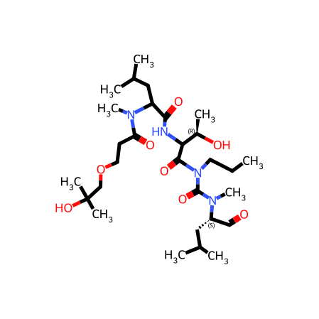 CCCN(C(=O)C(NC(=O)C(CC(C)C)N(C)C(=O)CCOCC(C)(C)O)[C@@H](C)O)C(=O)N(C)[C@H](C=O)CC(C)C